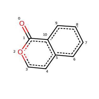 O=c1occc2cc[c]cc12